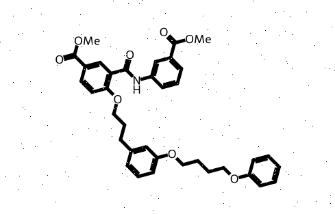 COC(=O)c1cccc(NC(=O)c2cc(C(=O)OC)ccc2OCCCc2cccc(OCCCCOc3ccccc3)c2)c1